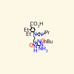 CCCCOc1nc(N)c2[nH]c(=O)n(CCCN(c3ccc(CC(=O)O)c(CC)c3CC)C3CN(CC(C)C)C3)c2n1